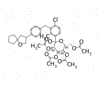 COC1(c2ccc(Cl)c(Cc3ccc(C4COC5(CCCC5)C4)cc3)c2)O[C@H](COC(C)=O)[C@@H](OC(C)=O)[C@H](OC(C)=O)[C@H]1OC(C)=O